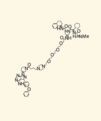 CN[C@@H](C)C(=O)N[C@H](C(=O)N1C[C@@H](NC(=O)COCCOCCOCCOCCN2CCN(CCCC(=O)N3CCC[C@@H](n4nc(-c5ccc(Oc6ccccc6)cc5)c5c(N)ncnc54)C3)CC2)C[C@H]1C(=O)N[C@@H]1CCCc2ccccc21)C1CCCCC1